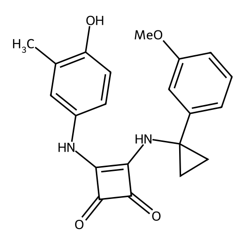 COc1cccc(C2(Nc3c(Nc4ccc(O)c(C)c4)c(=O)c3=O)CC2)c1